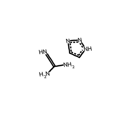 N=C(N)N.c1c[nH]nn1